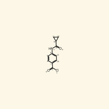 O=C(Cl)c1ccc(NC(=O)C2CC2)cc1